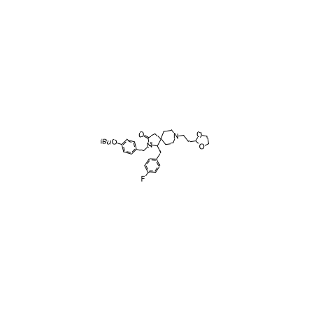 CC(C)COc1ccc(CN2C(=O)CC3(CCN(CCC4OCCO4)CC3)C2Cc2ccc(F)cc2)cc1